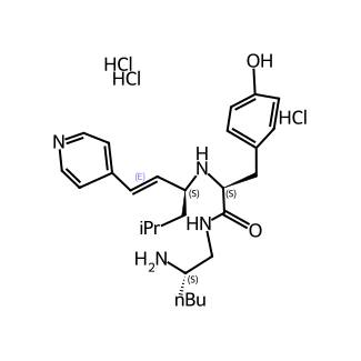 CCCC[C@H](N)CNC(=O)[C@H](Cc1ccc(O)cc1)N[C@H](/C=C/c1ccncc1)CC(C)C.Cl.Cl.Cl